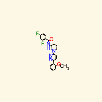 COc1ccccc1-c1ccc(N2CCCC(NC(=O)c3ccc(F)cc3F)C2)nn1